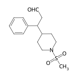 CS(=O)(=O)N1CCC(C(CC=O)c2ccccc2)CC1